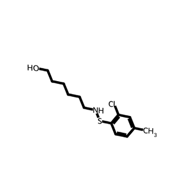 Cc1ccc(SNCCCCCCO)c(Cl)c1